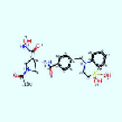 CC(C)(C)C(=O)N1C[C@H](C(=O)NO)[C@H](NC(=O)c2ccc(CN3CCS(O)(O)c4ccccc43)cc2)C1